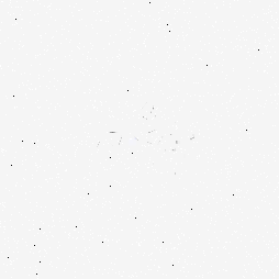 CC1(C)c2cc(Cn3cccn3)c(/C=C/c3ccc(C(=O)O)cc3)cc2C(C)(C)[C@@H](O)[C@H]1O